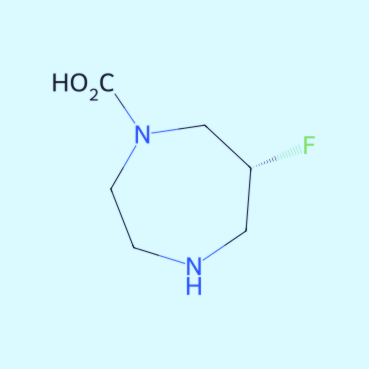 O=C(O)N1CCNC[C@@H](F)C1